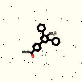 COC(=O)c1ccc(-c2cc(C3CCCCC3)c(S(=O)(=O)O)c(C3CCCCC3)c2)cc1